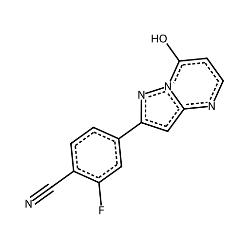 N#Cc1ccc(-c2cc3nccc(O)n3n2)cc1F